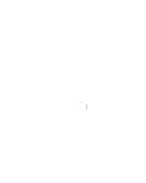 C[CH]C1C=CC1